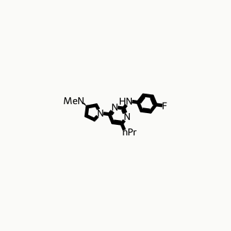 CCCc1cc(N2CC[C@H](NC)C2)nc(Nc2ccc(F)cc2)n1